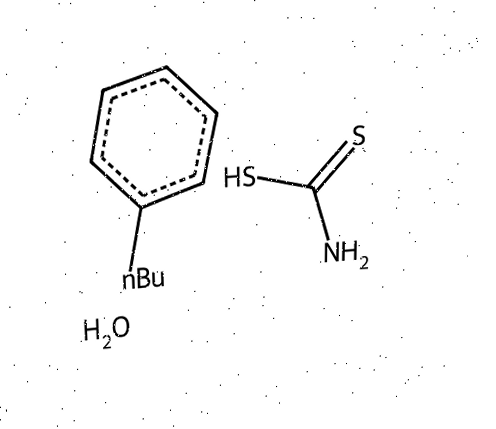 CCCCc1ccccc1.NC(=S)S.O